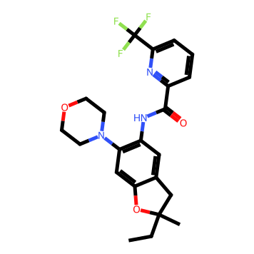 CCC1(C)Cc2cc(NC(=O)c3cccc(C(F)(F)F)n3)c(N3CCOCC3)cc2O1